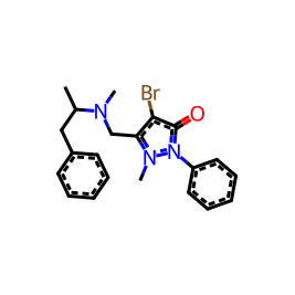 CC(Cc1ccccc1)N(C)Cc1c(Br)c(=O)n(-c2ccccc2)n1C